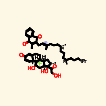 CC1=C(C/C=C(\C)CCC[C@H](C)CCC[C@H](C)CCCC(C)C)C(=O)c2ccccc2C1=O.C[C@H]1C[C@H]2[C@@H]3CCC4=CC(=O)C=C[C@]4(C)[C@@]3(F)[C@@H](O)C[C@]2(C)[C@@]1(O)C(=O)CO